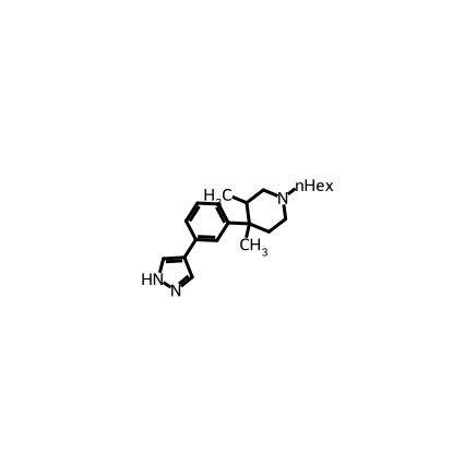 CCCCCCN1CCC(C)(c2cccc(-c3cn[nH]c3)c2)C(C)C1